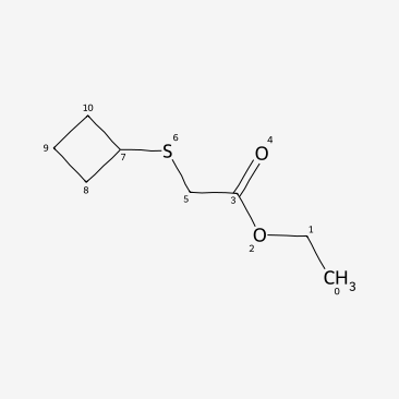 CCOC(=O)CSC1CCC1